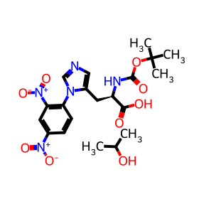 CC(C)(C)OC(=O)N[C@H](Cc1cncn1-c1ccc([N+](=O)[O-])cc1[N+](=O)[O-])C(=O)O.CC(C)O